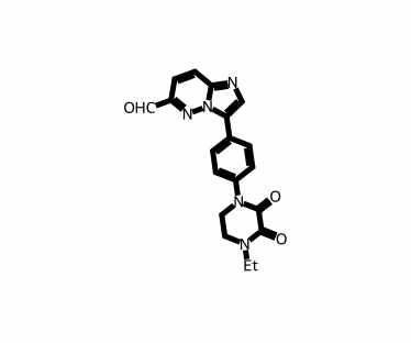 CCN1CCN(c2ccc(-c3cnc4ccc(C=O)nn34)cc2)C(=O)C1=O